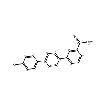 CCc1ccc(-c2ccc(-c3cccc(C(=O)OC)c3)cc2)cc1